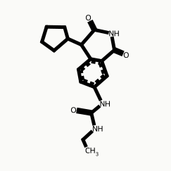 CCNC(=O)Nc1ccc2c(c1)C(=O)NC(=O)C2C1CCCC1